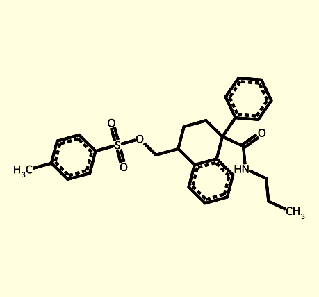 CCCNC(=O)C1(c2ccccc2)CCC(COS(=O)(=O)c2ccc(C)cc2)c2ccccc21